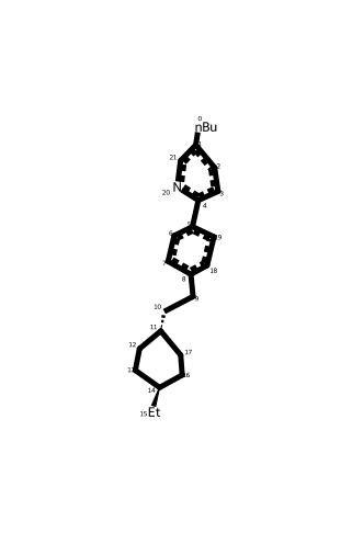 CCCCc1ccc(-c2ccc(CC[C@H]3CC[C@H](CC)CC3)cc2)nc1